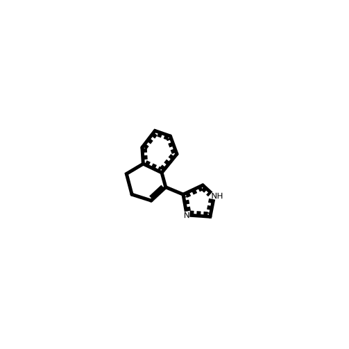 C1=C(c2c[nH]cn2)c2ccccc2CC1